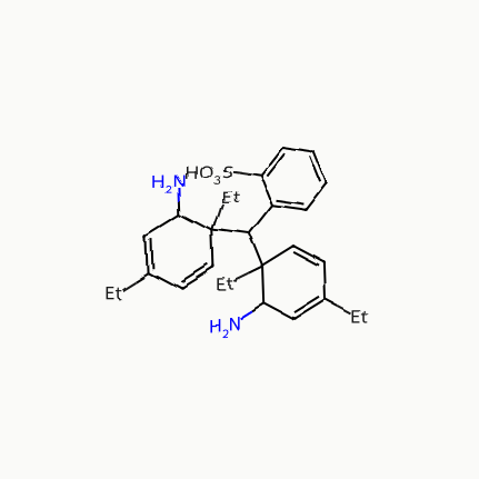 CCC1=CC(N)C(CC)(C(c2ccccc2S(=O)(=O)O)C2(CC)C=CC(CC)=CC2N)C=C1